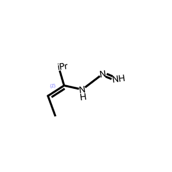 C/C=C(\NN=N)C(C)C